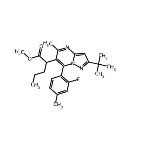 CCCC(C(=O)OC)c1c(C)nc2cc(C(C)(C)C)nn2c1-c1ccc(C)cc1F